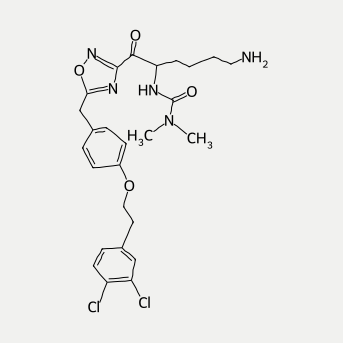 CN(C)C(=O)NC(CCCCN)C(=O)c1noc(Cc2ccc(OCCc3ccc(Cl)c(Cl)c3)cc2)n1